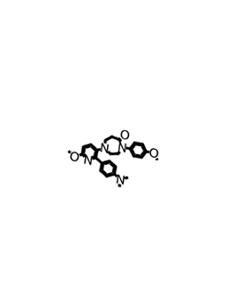 COc1ccc(N2CCN(c3ccc(OC)nc3-c3ccc(N(C)C)cc3)CCC2=O)cc1